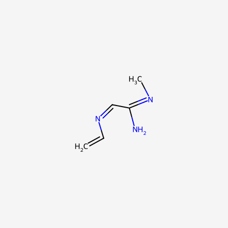 C=C/N=C\C(N)=N/C